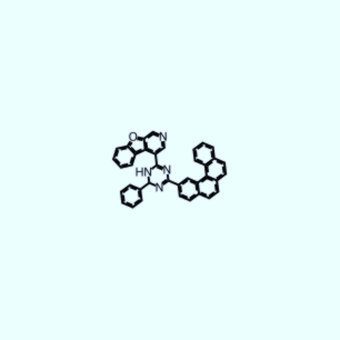 c1ccc(C2N=C(c3ccc4ccc5ccc6ccccc6c5c4c3)N=C(c3cncc4oc5ccccc5c34)N2)cc1